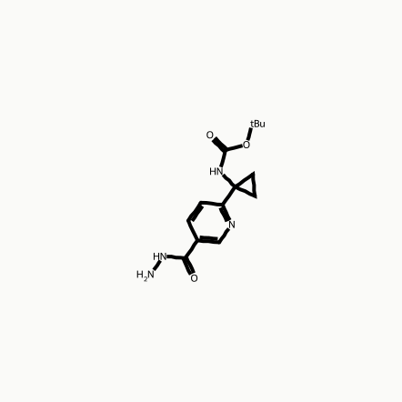 CC(C)(C)OC(=O)NC1(c2ccc(C(=O)NN)cn2)CC1